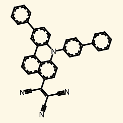 N#CC(C#N)=C(C#N)c1ccc2c3c(cccc13)-c1cc(-c3ccccc3)ccc1N2c1ccc(-c2ccccc2)cc1